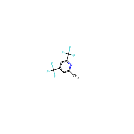 Cc1cc(C(F)(F)F)cc(C(F)(F)F)n1